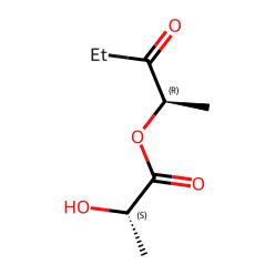 CCC(=O)[C@@H](C)OC(=O)[C@H](C)O